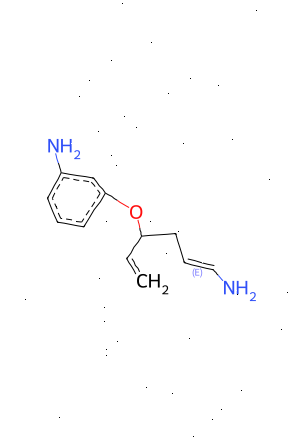 C=CC(C/C=C/N)Oc1cccc(N)c1